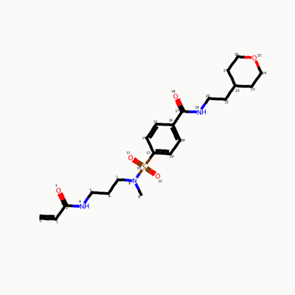 C=CC(=O)NCCCN(C)S(=O)(=O)c1ccc(C(=O)NCCC2CCOCC2)cc1